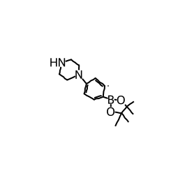 CC1(C)OB(c2[c]cc(N3CCNCC3)cc2)OC1(C)C